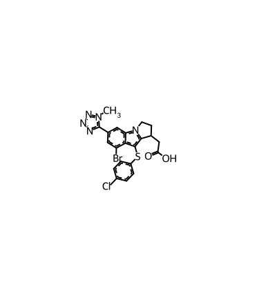 Cn1nnnc1-c1cc(Br)c2c(Sc3ccc(Cl)cc3)c3n(c2c1)CCC3CC(=O)O